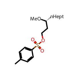 CCCCCCC[C@H](CCOS(=O)(=O)c1ccc(C)cc1)OC